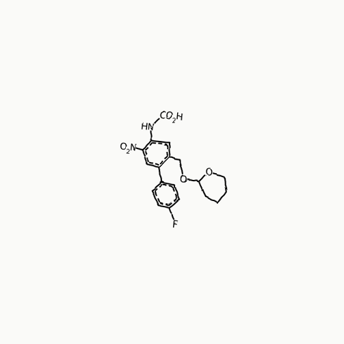 O=C(O)Nc1cc(COC2CCCCO2)c(-c2ccc(F)cc2)cc1[N+](=O)[O-]